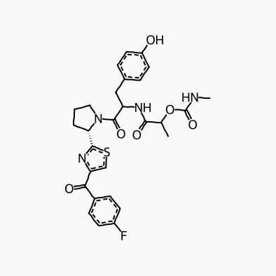 CNC(=O)OC(C)C(=O)NC(Cc1ccc(O)cc1)C(=O)N1CCC[C@H]1c1nc(C(=O)c2ccc(F)cc2)cs1